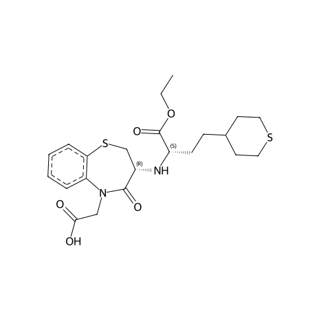 CCOC(=O)[C@H](CCC1CCSCC1)N[C@H]1CSc2ccccc2N(CC(=O)O)C1=O